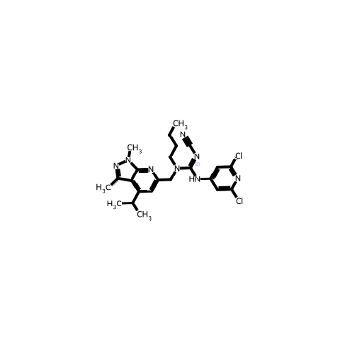 CCCCN(Cc1cc(C(C)C)c2c(C)nn(C)c2n1)/C(=N\C#N)Nc1cc(Cl)nc(Cl)c1